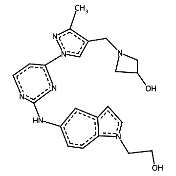 Cc1nn(-c2ccnc(Nc3ccc4c(ccn4CCO)c3)n2)cc1CN1CC(O)C1